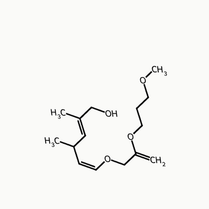 C=C(CO/C=C\C(C)/C=C(\C)CO)OCCCOC